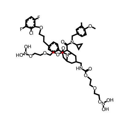 COc1ccc(CN(C(=O)C2C(c3ccc(CCCOc4c(F)ccc(F)c4Cl)cc3)CC3CC(CNC(=O)OCCOCCON(O)O)CC2N3C(=O)OCCOCCON(O)O)C2CC2)cc1C